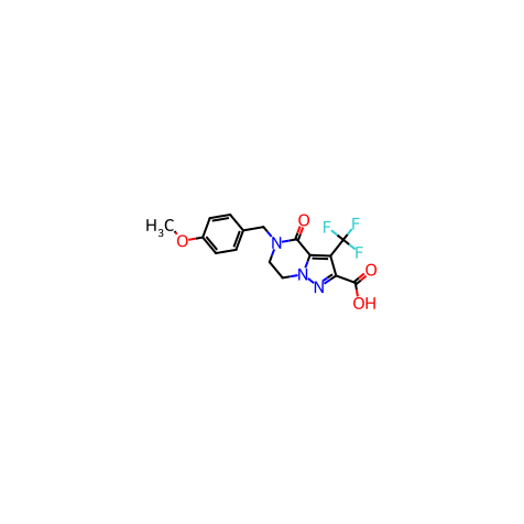 COc1ccc(CN2CCn3nc(C(=O)O)c(C(F)(F)F)c3C2=O)cc1